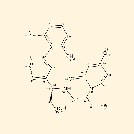 Cc1cccc(C)c1-c1cncc([C@H](CC(=O)O)NCC(CC(C)C)n2ccc(C(F)(F)F)cc2=O)c1